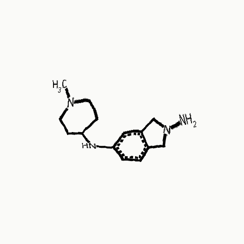 CN1CCC(Nc2ccc3c(c2)CN(N)C3)CC1